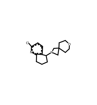 Clc1ccc2c(n1)CCCC2N1CC2(CCOCC2)C1